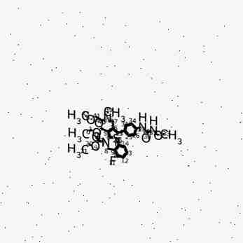 CCOC(=O)c1c(N(Cc2c(F)cccc2F)C(=O)OCC)sc(-c2ccc(NC(=O)NOC)cc2)c1CN(C)CCOC